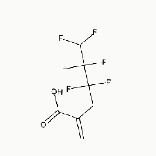 C=C(CC(F)(F)C(F)(F)C(F)F)C(=O)O